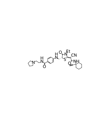 C#CC1(NC(=O)/C(C#N)=C2\S[C@H](CNc3ccc(C(=O)NCCN4CCCC4)cc3)C(=O)N2CC)CCCCC1